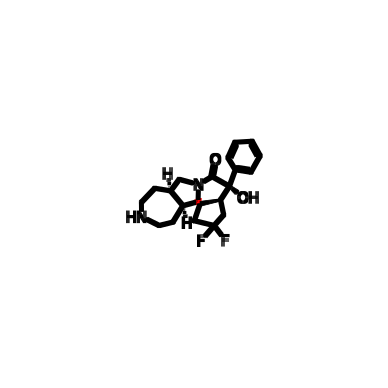 O=C(N1C[C@H]2CCNCC[C@H]2C1)[C@](O)(c1ccccc1)[C@@H]1CCC(F)(F)C1